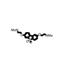 CNCCOc1ccc2c(c1)-c1ccc(OCCNC)cc1S2(=O)=O